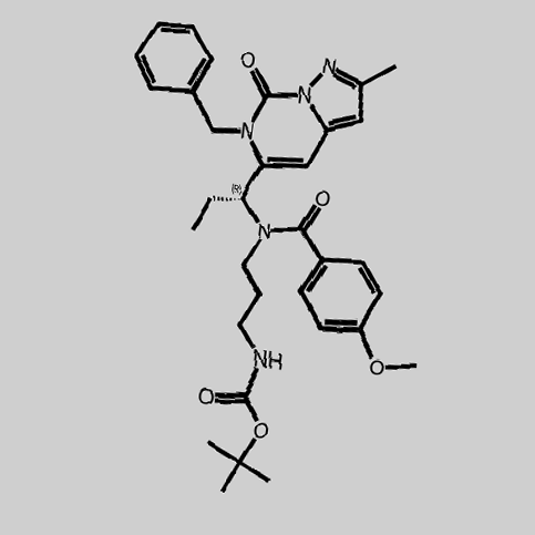 CC[C@H](c1cc2cc(C)nn2c(=O)n1Cc1ccccc1)N(CCCNC(=O)OC(C)(C)C)C(=O)c1ccc(OC)cc1